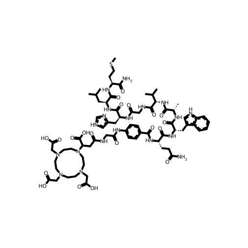 CSCC[C@H](NC(=O)[C@H](CC(C)C)NC(=O)[C@H](Cc1c[nH]cn1)NC(=O)CNC(=O)[C@@H](NC(=O)[C@H](C)NC(=O)[C@H](Cc1c[nH]c2ccccc12)NC(=O)[C@H](CCC(N)=O)NC(=O)c1ccc(NC(=O)CNC(=O)CC(C(=O)O)N2CCN(CC(=O)O)CCN(CC(=O)O)CCN(CC(=O)O)CC2)cc1)C(C)C)C(N)=O